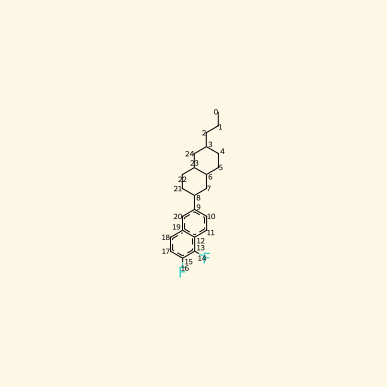 CCCC1CCC2CC(c3ccc4c(F)c(F)ccc4c3)CCC2C1